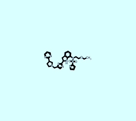 CCOCCN(c1cccc2c1NC(c1ncc(CN3CCC(c4ncccn4)C3)s1)C2)S(=O)(=O)c1cccs1